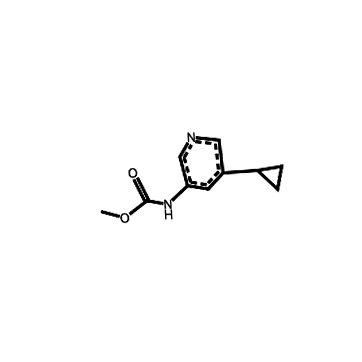 COC(=O)Nc1cncc(C2CC2)c1